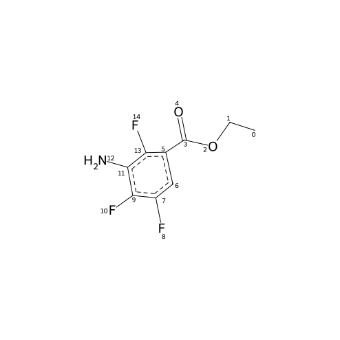 CCOC(=O)c1cc(F)c(F)c(N)c1F